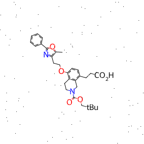 Cc1oc(-c2ccccc2)nc1CCOc1ccc(CCC(=O)O)c2c1CCN(C(=O)OCC(C)(C)C)C2